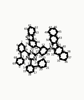 c1ccc(-c2ccccc2-c2nc(-c3ccccc3-c3ccccc3)nc(-c3ccc(-n4c5cc6ccccc6cc5c5cc6ccccc6cc54)cc3-c3ccc4sc5ccccc5c4c3)n2)cc1